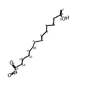 C=C(O)CCCCCCCCCCCCC(=O)N=O